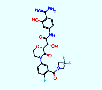 N=C(N)c1ccc(NC(=O)[C@H](O)[C@H]2OCCN(c3ccc(F)c(C(=O)N4CC(F)(F)C4)c3)C2=O)cc1O